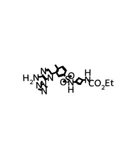 CCOC(=O)NC12CC(NS(=O)(=O)c3ccc(C)c(-c4cnc(N)c(-n5cncn5)n4)c3)(C1)C2